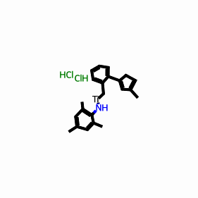 CC1=CCC(c2ccccc2[CH2][Ti][NH]c2c(C)cc(C)cc2C)=C1.Cl.Cl